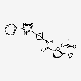 CS(=O)(=O)C1(c2ccc(C(=O)NC34CC(c5nc(-c6ccccc6)ns5)(C3)C4)o2)CC1